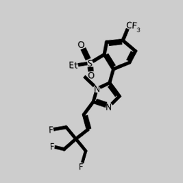 CCS(=O)(=O)c1cc(C(F)(F)F)ccc1-c1cnc(/C=C/C(CF)(CF)CF)n1C